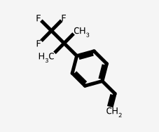 C=Cc1ccc(C(C)(C)C(F)(F)F)cc1